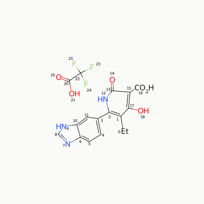 CCc1c(-c2ccc3nc[nH]c3c2)[nH]c(=O)c(C(=O)O)c1O.O=C(O)C(F)(F)F